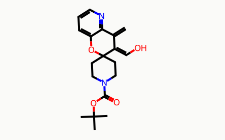 C=C1/C(=C\O)C2(CCN(C(=O)OC(C)(C)C)CC2)Oc2cccnc21